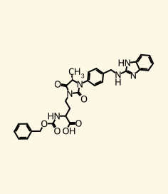 C[C@@H]1C(=O)N(CCC(NC(=O)OCc2ccccc2)C(=O)O)C(=O)N1c1ccc(CNc2nc3ccccc3[nH]2)cc1